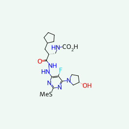 CSc1nc(NNC(=O)[C@@H](CNC(=O)O)CC2CCCC2)c(F)c(N2CC[C@H](O)C2)n1